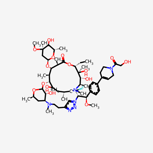 CC[C@H]1OC(=O)[C@H](C)[C@@H](O[C@H]2C[C@@](C)(OC)[C@@H](O)[C@H](C)O2)[C@H](C)[C@@H](OC2O[C@H](C)C[C@H](N(C)CCc3cn([C@H](CF)[C@H](OC)c4ccc(C5=CCN(C(=O)CO)CC5)cc4)nn3)[C@H]2O)[C@](C)(O)C[C@@H](C)CN(C)[C@H](C)[C@@H](O)[C@]1(C)O